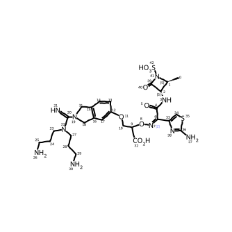 C[C@H]1[C@H](NC(=O)/C(=N\OC(COc2ccc3c(c2)CN(C(=N)N(CCCN)CCCN)C3)C(=O)O)c2csc(N)n2)C(=O)N1S(=O)(=O)O